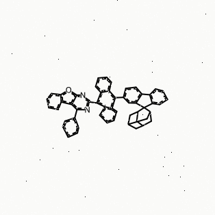 c1ccc(-c2nc(-c3c4ccccc4c(-c4ccc5c(c4)C4(c6ccccc6-5)C5CC6CC(C5)CC4C6)c4ccccc34)nc3oc4ccccc4c23)cc1